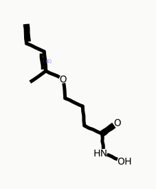 C=C/C=C(\C)OCCCC(=O)NO